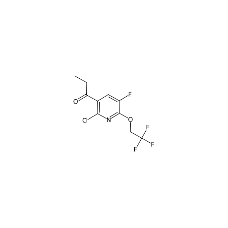 CCC(=O)c1cc(F)c(OCC(F)(F)F)nc1Cl